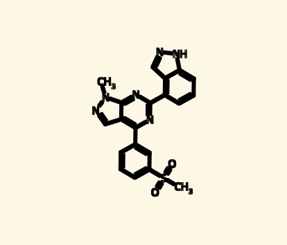 Cn1ncc2c(-c3cccc(S(C)(=O)=O)c3)nc(-c3cccc4[nH]ncc34)nc21